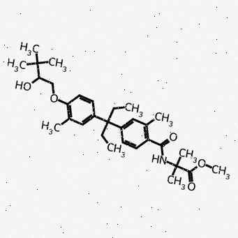 CCC(CC)(c1ccc(OCC(O)C(C)(C)C)c(C)c1)c1ccc(C(=O)NC(C)(C)C(=O)OC)c(C)c1